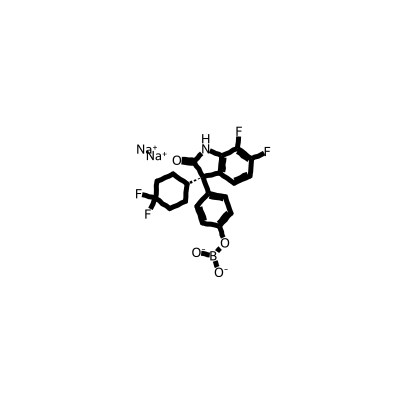 O=C1Nc2c(ccc(F)c2F)[C@]1(c1ccc(OB([O-])[O-])cc1)C1CCC(F)(F)CC1.[Na+].[Na+]